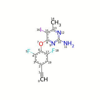 C#Cc1cc(F)c(Oc2nc(N)nc(C)c2I)c(F)c1